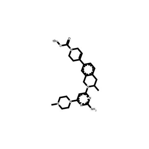 CC1Cc2ccc(C3=CCN(C(=O)OC(C)(C)C)CC3)cc2CN1c1cc(N2CCN(C)CC2)nc(N)n1